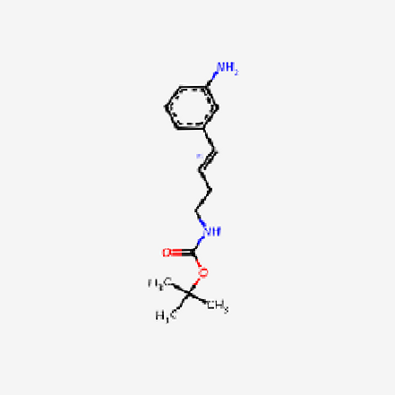 CC(C)(C)OC(=O)NCC/C=C/c1cccc(N)c1